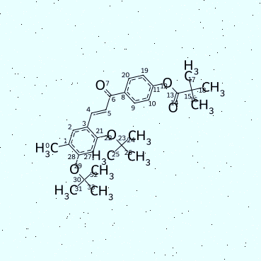 Cc1cc(/C=C/C(=O)c2ccc(OC(=O)C(C)(C)C)cc2)c(OC(C)(C)C)cc1OC(C)(C)C